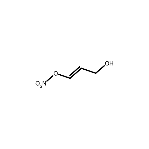 O=[N+]([O-])OC=CCO